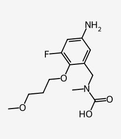 COCCCOc1c(F)cc(N)cc1CN(C)C(=O)O